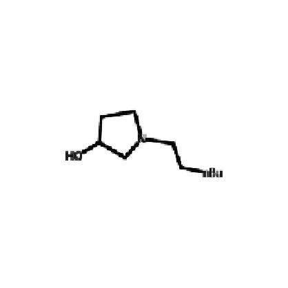 CCCCCCN1CCC(O)C1